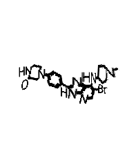 CN1CCC(Nc2c(Br)cnc3[nH]c(-c4ccc(N5CCNC(=O)C5)cc4)nc23)CC1